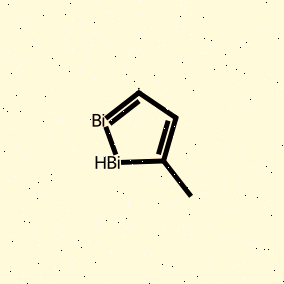 C[C]1=C[C]=[Bi][BiH]1